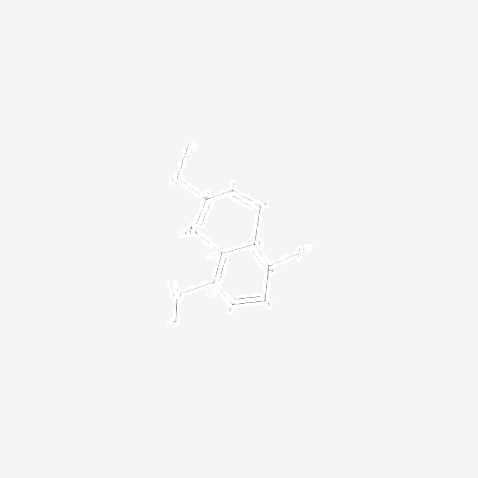 CCc1ccc2c(I)ccc(OC)c2n1